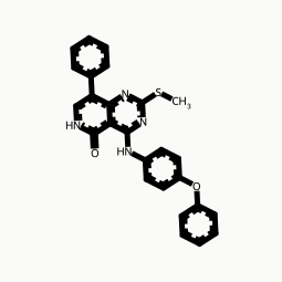 CSc1nc(Nc2ccc(Oc3ccccc3)cc2)c2c(=O)[nH]cc(-c3ccccc3)c2n1